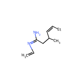 C=C/N=C(/N)CC(C)/C=C\CC